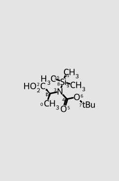 C[C@@H](C(=O)O)N(C(=O)OC(C)(C)C)[Si](C)(C)C